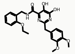 CCOc1ccccc1CNC(=O)c1nc(Cc2ccc(OC)c(OC)c2)nc(O)c1O